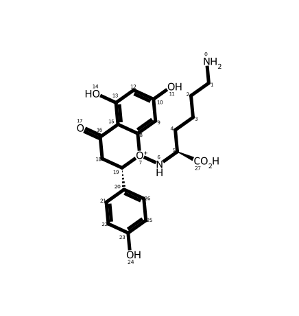 NCCCC[C@H](N[O+]1c2cc(O)cc(O)c2C(=O)C[C@H]1c1ccc(O)cc1)C(=O)O